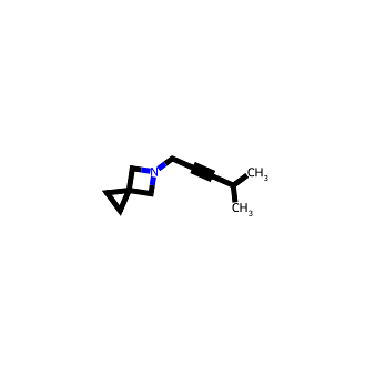 CC(C)C#CCN1CC2(CC2)C1